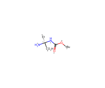 CC[C@](N)(NC(=O)OC(C)(C)C)C(=O)O